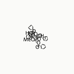 CO[C@H](COC(=O)c1ccccc1)[C@@H](OC(=O)c1ccccc1)[C@@](C)(C#N)O[PH](O)(Oc1ccccc1)Oc1ccccc1